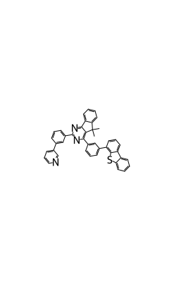 CC1(C)c2ccccc2-c2nc(-c3cccc(-c4cccnc4)c3)nc(-c3cccc(-c4cccc5c4sc4ccccc45)c3)c21